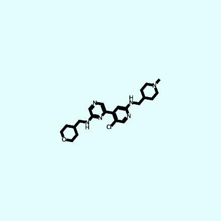 CN1CCC(CNc2cc(-c3cncc(NCC4CCOCC4)n3)c(Cl)cn2)CC1